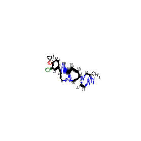 COc1ccc(C2=CCN3C=C(N4CCN[C@@H](C)C4)C=CC3=N2)cc1Cl